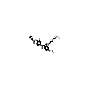 CCNCCCNc1cc(C)ccc1CNc1cc(F)c(SNc2nccs2)cc1F